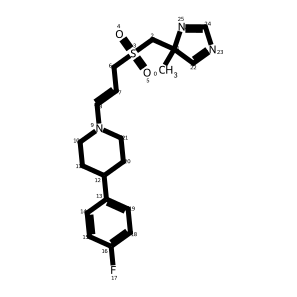 CC1(CS(=O)(=O)CC=CN2CCC(c3ccc(F)cc3)CC2)C=NC=N1